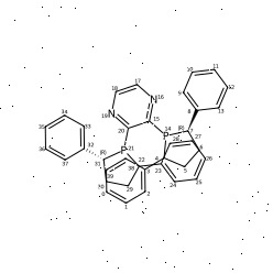 c1ccc(C2CC[C@H](c3ccccc3)P2c2nccnc2P2C(c3ccccc3)CC[C@@H]2c2ccccc2)cc1